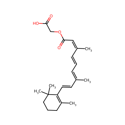 CC(C=CC1=C(C)CCCC1(C)C)=CC=C/C(C)=C\C(=O)OCC(=O)O